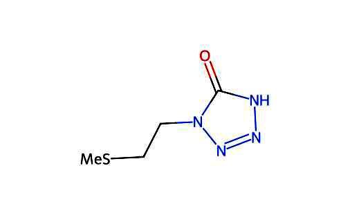 CSCCn1nn[nH]c1=O